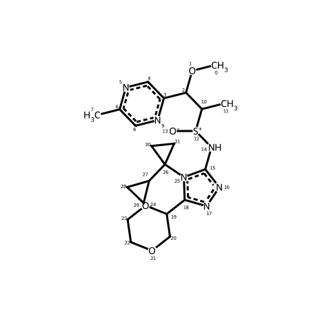 COC(c1cnc(C)cn1)C(C)[S+]([O-])Nc1nnc(C2COCCO2)n1C1(C2CC2)CC1